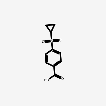 O=C(O)c1ccc(S(=O)(=O)C2CC2)cc1